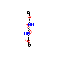 O=C(CCCCC(=O)NCCCCCC(=O)OCc1ccccc1)NCCCCCC(=O)OCc1ccccc1